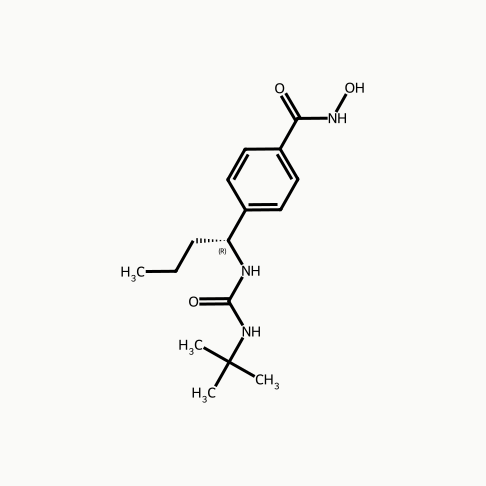 CCC[C@@H](NC(=O)NC(C)(C)C)c1ccc(C(=O)NO)cc1